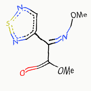 CO/N=C(/C(=O)OC)c1cnsn1